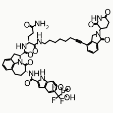 NC(=O)CC[C@H](NC(=O)[C@@H]1Cc2cccc3c2N1C(=O)[C@H](NC(=O)c1cc2cc(C(F)(F)P(=O)(O)O)ccc2[nH]1)CC3)C(=O)NCCCCCCC#Cc1cccc2c1CN(C1CCC(=O)NC1=O)C2=O